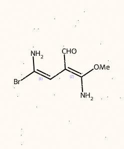 CO/C(N)=C(C=O)/C=C(\N)Br